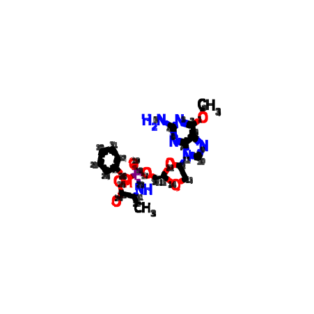 COc1nc(N)nc2c1ncn2[C@H]1CO[C@@H](COP(=O)(NC(C)C(=O)O)Oc2ccccc2)O1